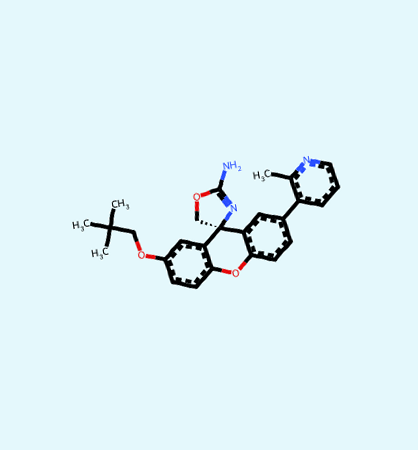 Cc1ncccc1-c1ccc2c(c1)[C@@]1(COC(N)=N1)c1cc(OCC(C)(C)C)ccc1O2